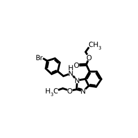 CCOC(=O)c1cccc2nc(OCC)n(NCc3ccc(Br)cc3)c12